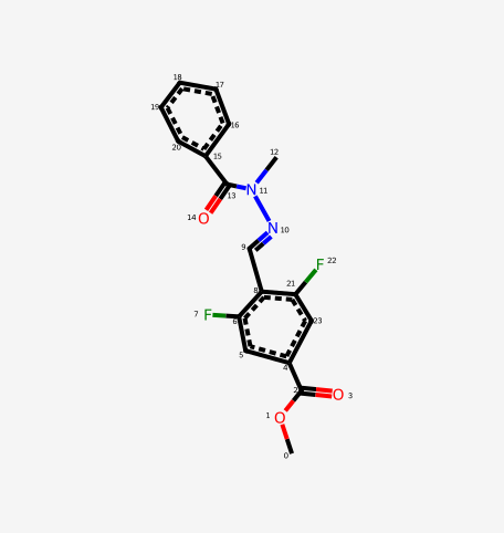 COC(=O)c1cc(F)c(/C=N/N(C)C(=O)c2ccccc2)c(F)c1